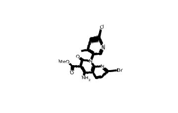 COC(=O)c1c(N)c2ccc(Br)nc2n(-c2cnc(Cl)cc2C)c1=O